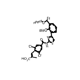 CCCCCO[C@@H](CC)c1cccc(-c2csc(NC(=O)c3cc(Cl)c(/C=C(\C)C(=O)O)c(Cl)c3)n2)c1OC